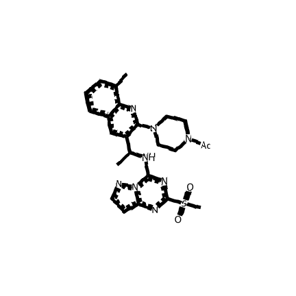 CC(=O)N1CCN(c2nc3c(C)cccc3cc2C(C)Nc2nc(S(C)(=O)=O)nc3ccnn23)CC1